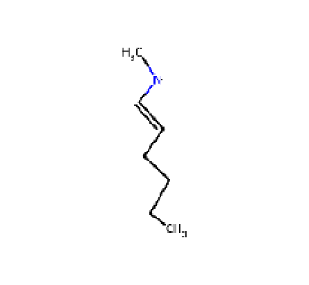 CCCCC=C[N]C